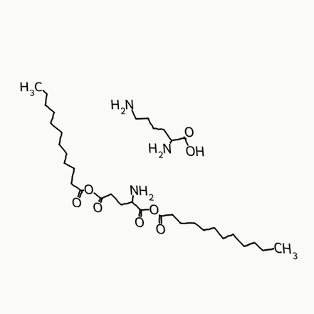 CCCCCCCCCCCC(=O)OC(=O)CCC(N)C(=O)OC(=O)CCCCCCCCCCC.NCCCCC(N)C(=O)O